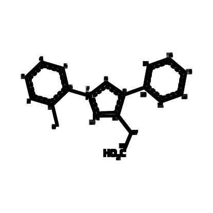 Cc1ccccc1-n1cc(-c2ccccc2)c(CC(=O)O)n1